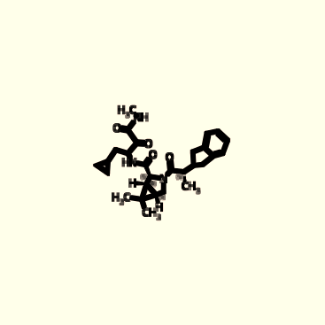 CNC(=O)C(=O)C(CC1CC1)NC(=O)[C@@H]1[C@@H]2[C@H](CN1C(=O)[C@@H](C)C1Cc3ccccc3C1)C2(C)C